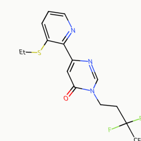 CCSc1cccnc1-c1cc(=O)n(CCC(F)(F)C(F)(F)F)cn1